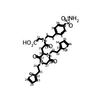 NS(=O)(=O)c1ccc(CCN(CC(=O)O)C(=O)CC2C(=O)N(CCc3cccs3)CC(=O)N2CCc2cccs2)cc1